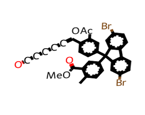 COC(=O)c1cc(C2(c3ccc(C=C=C=C=C=C=O)c(OC(C)=O)c3)c3cc(Br)ccc3-c3ccc(Br)cc32)ccc1C